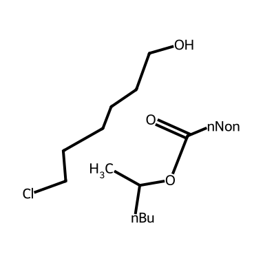 CCCCCCCCCC(=O)OC(C)CCCC.OCCCCCCCl